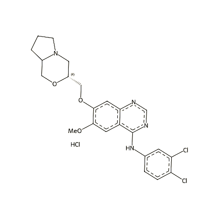 COc1cc2c(Nc3ccc(Cl)c(Cl)c3)ncnc2cc1OC[C@H]1CN2CCCC2CO1.Cl